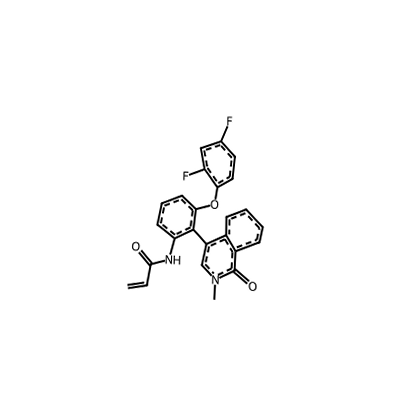 C=CC(=O)Nc1cccc(Oc2ccc(F)cc2F)c1-c1cn(C)c(=O)c2ccccc12